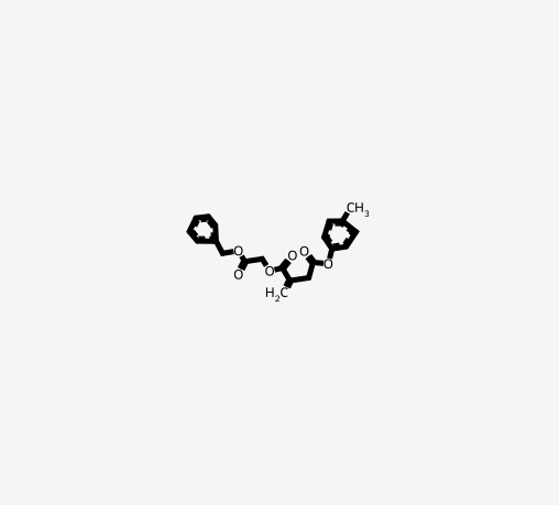 C=C(CC(=O)Oc1ccc(C)cc1)C(=O)OCC(=O)OCc1ccccc1